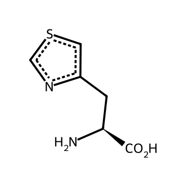 N[C@@H](Cc1cscn1)C(=O)O